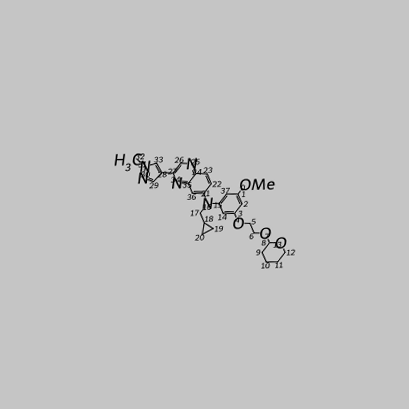 COc1cc(OCCOC2CCCCO2)cc(N(CC2CC2)c2ccc3ncc(-c4cnn(C)c4)nc3c2)c1